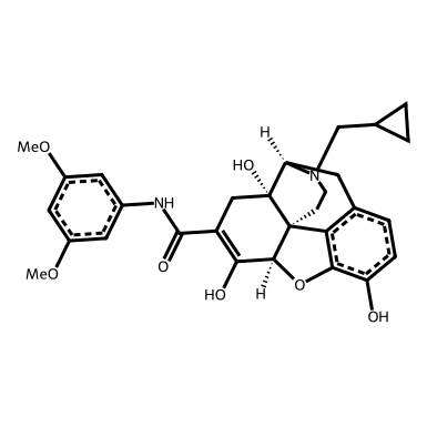 COc1cc(NC(=O)C2=C(O)[C@@H]3Oc4c(O)ccc5c4[C@@]34CCN(CC3CC3)[C@H](C5)[C@]4(O)C2)cc(OC)c1